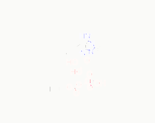 CCOC(=O)OCOP(=O)(O)COC[C@H]1O[C@@H](N2c3nc(Cl)nc(NC4CCCC4)c3C=CC2CC)[C@H](O)[C@@H]1O